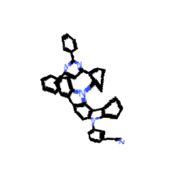 N#Cc1cccc(-n2c3ccccc3c3c2ccc2c4ccccc4n(-c4ccccc4-c4cc(-c5ccccc5)nc(-c5ccccc5)n4)c23)c1